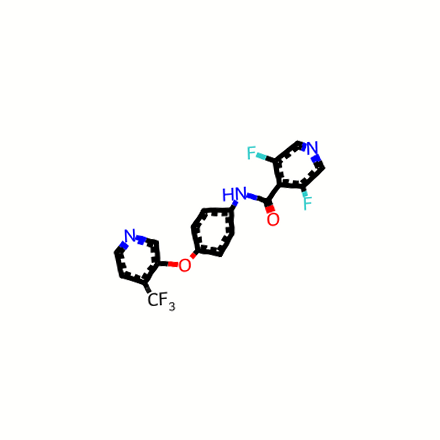 O=C(Nc1ccc(Oc2cnccc2C(F)(F)F)cc1)c1c(F)cncc1F